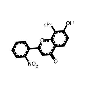 CCCc1c(O)ccc2c(=O)cc(-c3ccccc3[N+](=O)[O-])oc12